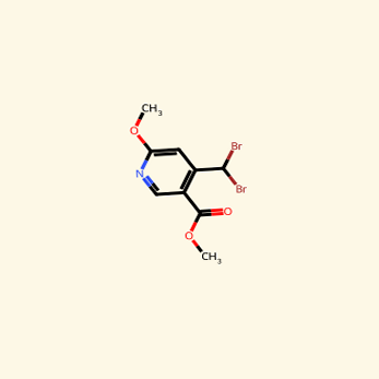 COC(=O)c1cnc(OC)cc1C(Br)Br